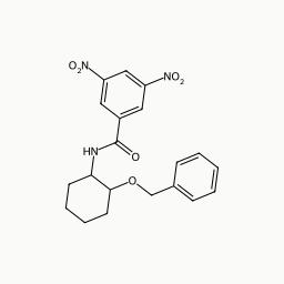 O=C(NC1CCCCC1OCc1ccccc1)c1cc([N+](=O)[O-])cc([N+](=O)[O-])c1